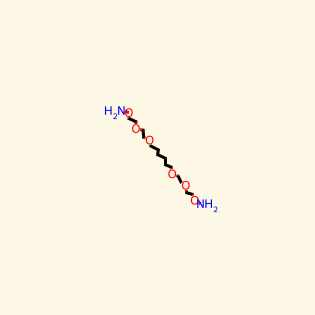 NOCCOCCOCCCCCCOCCOCCON